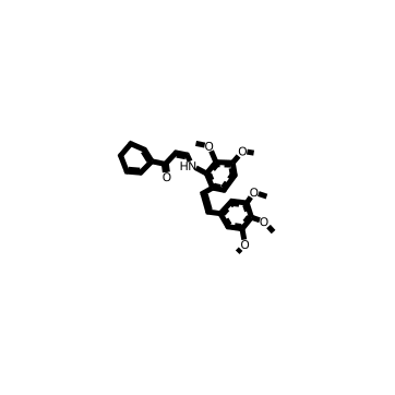 COc1cc(/C=C\c2ccc(OC)c(OC)c2N/C=C\C(=O)C2=CCCC=C2)cc(OC)c1OC